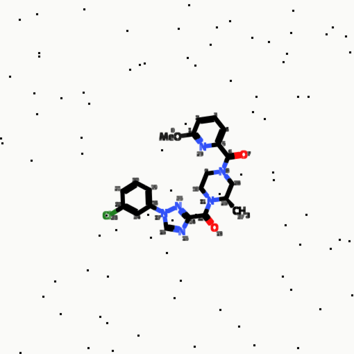 COc1cccc(C(=O)N2CCN(C(=O)c3ncn(-c4cccc(Cl)c4)n3)[C@H](C)C2)n1